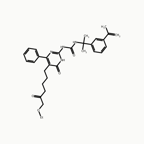 C=C(C)c1cccc(C(C)(C)NC(=O)Nc2nc(-c3ccccc3)c(CCCCC(=O)COCC)c(=O)[nH]2)c1